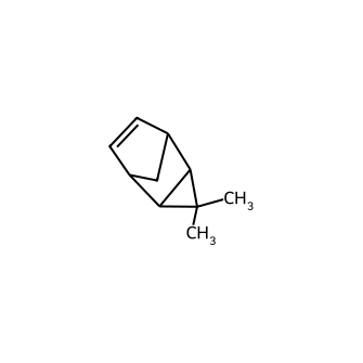 CC1(C)C2C3C=CC(C3)C21